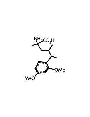 COc1ccc(C(C)C(C)CC(C)(N)C(=O)O)c(OC)c1